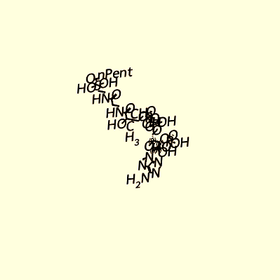 CCCCCC(=O)S(O)(O)CCNC(=O)CCNC(=O)C(O)C(C)(C)COP(=O)(O)OP(=O)(O)OC[C@H]1O[C@@H](n2cnc3c(N)ncnc32)[C@H](O)[C@@H]1OP(=O)(O)O